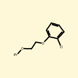 CC(C)OCCOc1c[c]ccc1Cl